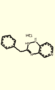 Cl.c1ccc(CC2=Nc3cnccc3NN2)cc1